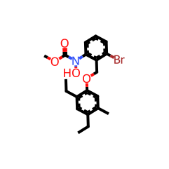 CCc1cc(CC)c(OCc2c(Br)cccc2N(O)C(=O)OC)cc1C